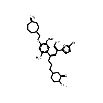 C=C1CCCC(COc2cc(C)c(/C(=C\C(=C\CCC)c3ccc(CC)o3)CCCC3CCC(C)C(=O)C3)cc2OC)CC1